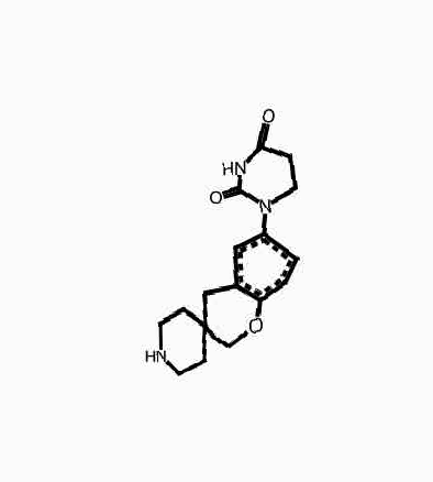 O=C1CCN(c2ccc3c(c2)CC2(CCNCC2)CO3)C(=O)N1